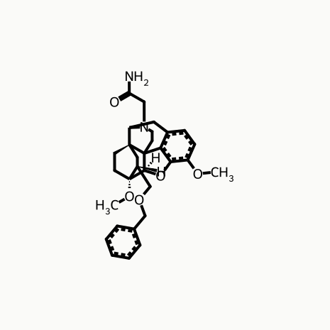 COc1ccc2c3c1O[C@@H]1C34CCN(CC(N)=O)C(C2)[C@]42CC[C@@]1(OC)[C@@H](COCc1ccccc1)C2